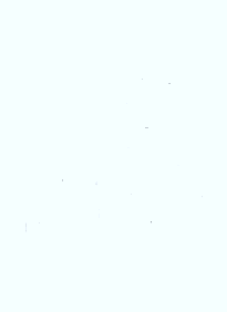 CCC(C)(C)C(=O)CCC(c1ccccc1)c1ccccc1